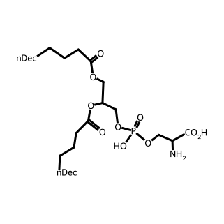 CCCCCCCCCCCCCC(=O)OCC(COP(=O)(O)OCC(N)C(=O)O)OC(=O)CCCCCCCCCCCCC